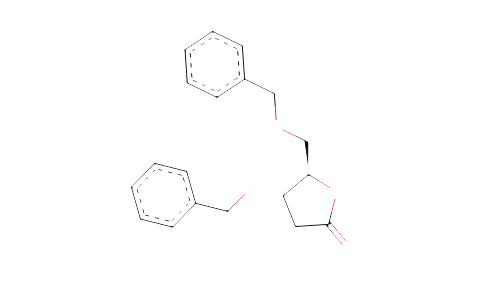 O=C1O[C@H](COCc2ccccc2)[C@@H](OCc2ccccc2)[C@H]1F